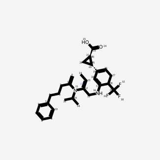 C=C(CCCc1ccccc1)N(/C(=C\C)CNC1=CC([C@@H]2C[C@H]2C(=O)O)=CCC1C(F)(F)F)C(C)C